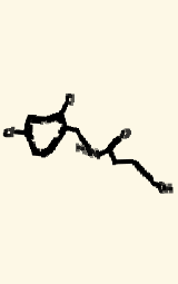 O=C(CCCO)NCc1ccc(Cl)cc1Cl